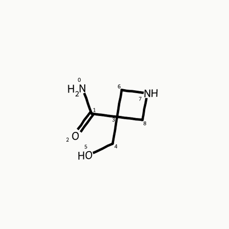 NC(=O)C1(CO)CNC1